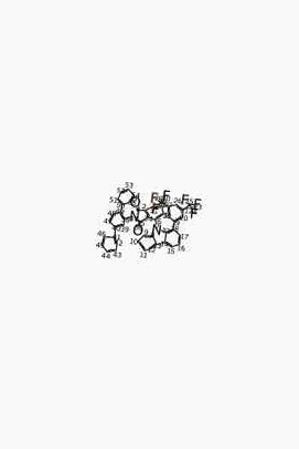 O=C1c2cccc(-n3c4ccccc4c4cccc(-c5cc(C(F)(F)F)cc(C(F)(F)F)c5)c43)c2C(=O)N1c1cc(-c2ccccc2)ccc1-c1ccccc1